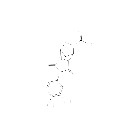 CCC(=O)N1CC2CC1[C@H]1C(=O)N(c3cnc(C#N)c(C)c3)C(=O)N21